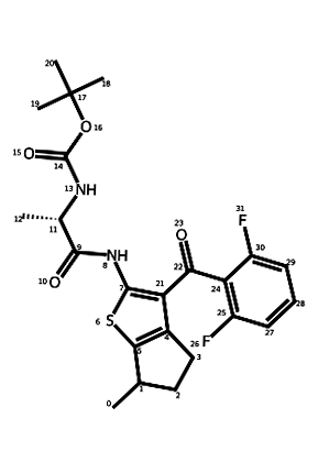 CC1CCc2c1sc(NC(=O)[C@H](C)NC(=O)OC(C)(C)C)c2C(=O)c1c(F)cccc1F